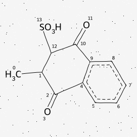 CC1C(=O)c2ccccc2C(=O)C1S(=O)(=O)O